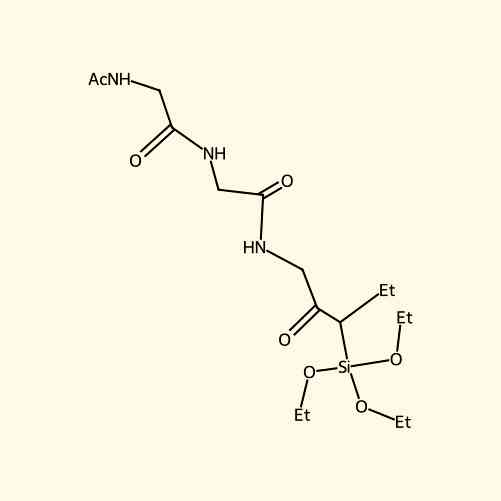 CCO[Si](OCC)(OCC)C(CC)C(=O)CNC(=O)CNC(=O)CNC(C)=O